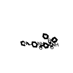 O=C(N[C@H]1CC[C@H](CCN2CCCC2)CC1)c1ccc(S(=O)(=O)Nc2ccccc2Oc2ccccc2)cc1